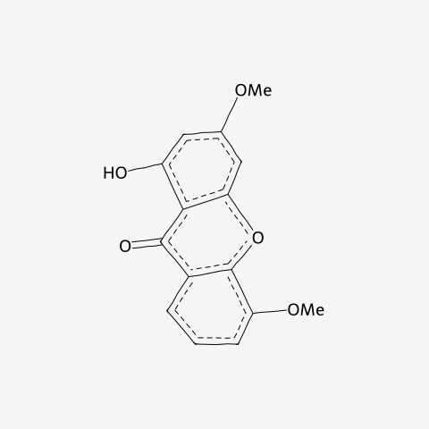 COc1cc(O)c2c(=O)c3cccc(OC)c3oc2c1